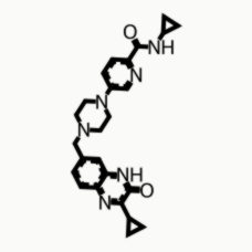 O=C(NC1CC1)c1ccc(N2CCN(Cc3ccc4nc(C5CC5)c(=O)[nH]c4c3)CC2)cn1